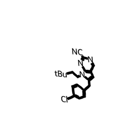 CC(C)(C)CCn1c(Cc2ccc(Cl)cc2)cc2cnc(C#N)nc21